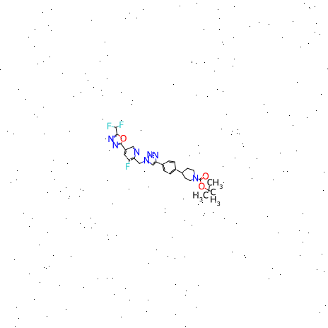 CC(C)(C)OC(=O)N1CCC(c2ccc(-c3cn(Cc4ncc(-c5nnc(C(F)F)o5)cc4F)nn3)cc2)CC1